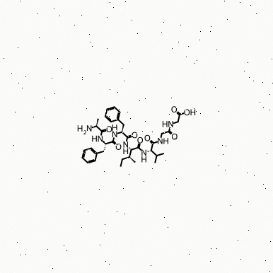 CC[C@H](C)[C@H](NC(=O)[C@H](Cc1ccccc1)NC(=O)[C@H](Cc1ccccc1)NC(=O)[C@H](C)N)C(=O)N[C@H](C(=O)NCC(=O)NCC(=O)O)C(C)C